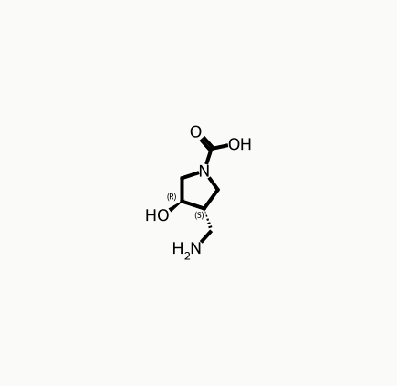 NC[C@H]1CN(C(=O)O)C[C@@H]1O